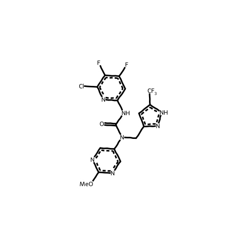 COc1ncc(N(Cc2cc(C(F)(F)F)[nH]n2)C(=O)Nc2cc(F)c(F)c(Cl)n2)cn1